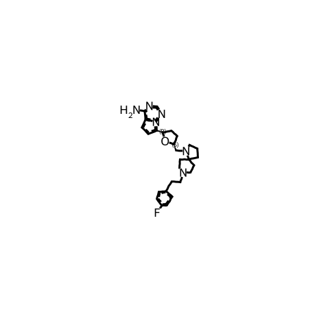 Nc1ncnn2c([C@H]3CC[C@@H](CN4CCCC45CCN(CCc4ccc(F)cc4)CC5)O3)ccc12